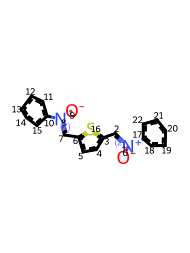 [O-]/[N+](=C\c1ccc(/C=[N+](\[O-])c2ccccc2)s1)c1ccccc1